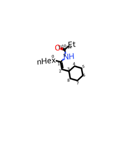 CCCCCCC(=CC1CCCCC1)NC(=O)CC